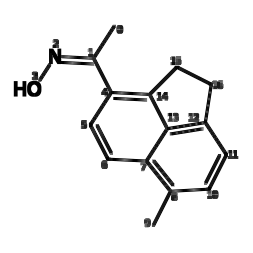 C/C(=N/O)c1ccc2c(C)ccc3c2c1CC3